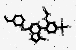 CCN1CCC[C@@H](Nc2nnc(-c3ccc(C(F)(F)F)cc3OC=O)c3c(F)ccn23)C1